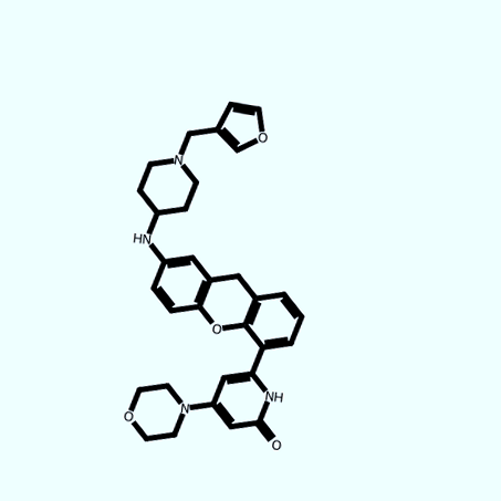 O=c1cc(N2CCOCC2)cc(-c2cccc3c2Oc2ccc(NC4CCN(Cc5ccoc5)CC4)cc2C3)[nH]1